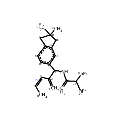 C=C(NC(C(=C)/C=C\C)c1ccc2c(c1)CC(C)(C)C2)C(CCC)CCC